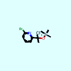 CC(O[Si](C)(C)C)(c1cccc(Br)n1)C(F)(F)F